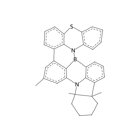 Cc1cc2c3c(c1)N1c4c(cccc4C4(C)CCCCC14C)B3N1c3ccccc3Sc3cccc-2c31